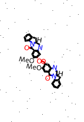 COc1cc2c(cc1OOc1cc3c(cc1OC)C(=O)N1c4ccccc4C[C@H]1C=N3)N=C[C@@H]1Cc3ccccc3N1C2=O